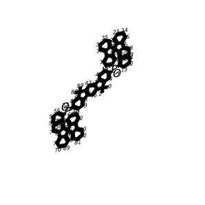 CC1(C)c2cc(P(=O)(c3ccccc3)c3ccc4c(c3)C3(c5ccccc5-c5ccccc53)c3ccccc3-4)ccc2-c2cc3c(cc21)-c1ccc(P(=O)(c2ccccc2)c2ccc4c(c2)C2(c5ccccc5-c5ccccc52)c2ccccc2-4)cc1C3(C)C